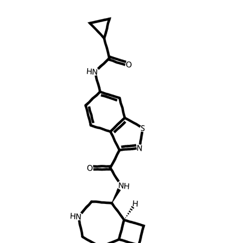 O=C(N[C@@H]1CNCCC2CC[C@@H]21)c1nsc2cc(NC(=O)C3CC3)ccc12